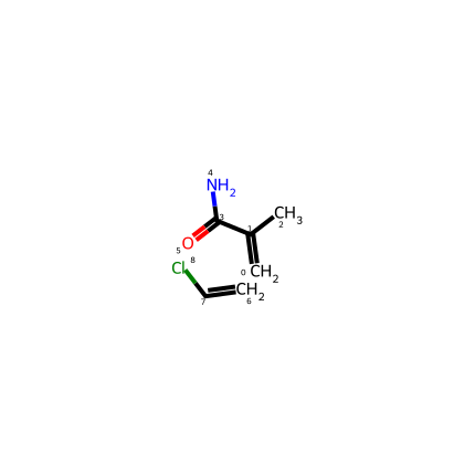 C=C(C)C(N)=O.C=CCl